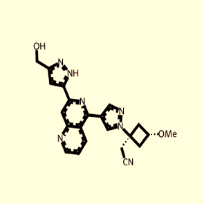 CO[C@H]1C[C@](CC#N)(n2cc(-c3nc(-c4cc(CO)n[nH]4)cc4ncccc34)cn2)C1